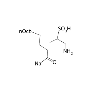 CC(CN)S(=O)(=O)O.CCCCCCCCCCC[C](=O)[Na]